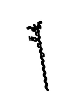 CCCCCCCCCCCCOCCOCC(O)COC[Si](C)(OCC)OCC